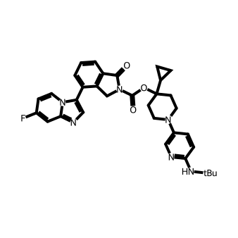 CC(C)(C)Nc1ccc(N2CCC(OC(=O)N3Cc4c(cccc4-c4cnc5cc(F)ccn45)C3=O)(C3CC3)CC2)cn1